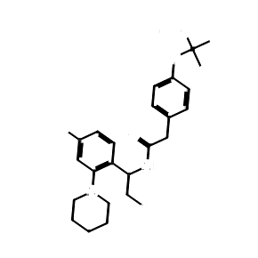 CCOC(=O)C(C)(C)Oc1ccc(CC(=O)NC(CC(C)C)c2ccc(C(F)(F)F)cc2N2CCCCC2)cc1